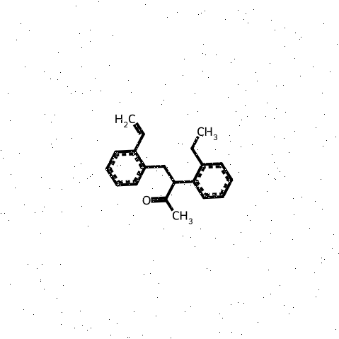 C=Cc1ccccc1CC(C(C)=O)c1ccccc1CC